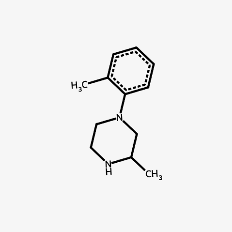 Cc1ccccc1N1CCNC(C)C1